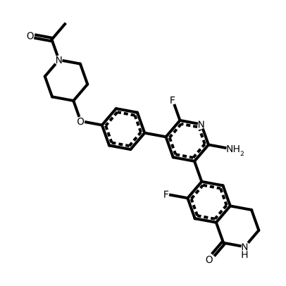 CC(=O)N1CCC(Oc2ccc(-c3cc(-c4cc5c(cc4F)C(=O)NCC5)c(N)nc3F)cc2)CC1